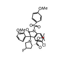 COc1ccc(S(=O)(=O)N2C(=O)C(c3cccnc3OC)(N3C[C@H](F)C[C@H]3C(=O)ON(C)C)c3cc(Cl)ccc32)cc1